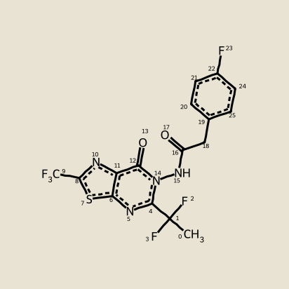 CC(F)(F)c1nc2sc(C(F)(F)F)nc2c(=O)n1NC(=O)Cc1ccc(F)cc1